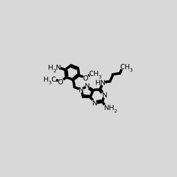 CCCCNc1nc(N)nc2cn(Cc3c(OC)ccc(N)c3OC)nc12